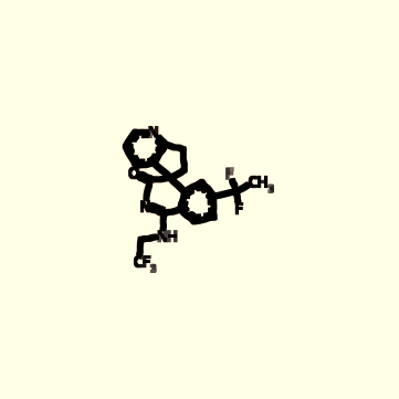 CC(F)(F)c1ccc2c(c1)C1(CCc3ncccc31)C(=O)N=C2NCC(F)(F)F